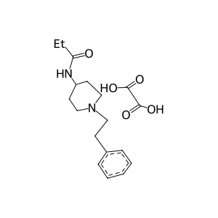 CCC(=O)NC1CCN(CCc2ccccc2)CC1.O=C(O)C(=O)O